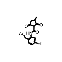 CCc1ccc(CC(C)=O)c(NC(=O)C2C(=O)CC(C)C2=O)c1